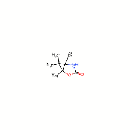 CCC12NC(=O)OC1(C(C)(C)C)C2(C)C